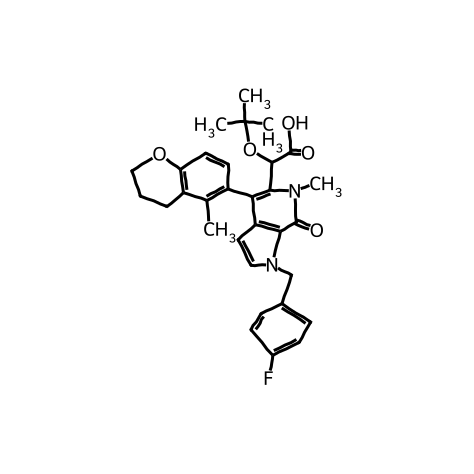 Cc1c(-c2c(C(OC(C)(C)C)C(=O)O)n(C)c(=O)c3c2ccn3Cc2ccc(F)cc2)ccc2c1CCCO2